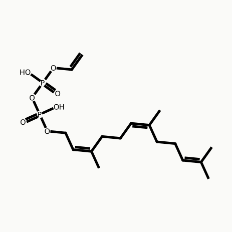 C=COP(=O)(O)OP(=O)(O)OCC=C(C)CCC=C(C)CCC=C(C)C